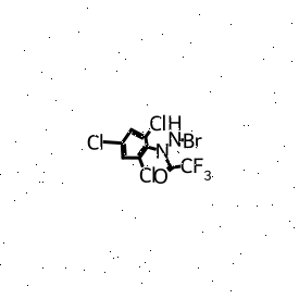 O=C(N(NBr)c1c(Cl)cc(Cl)cc1Cl)C(F)(F)F